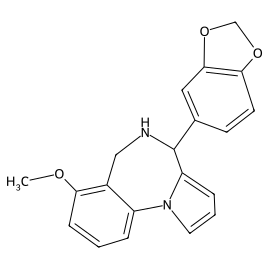 COc1cccc2c1CNC(c1ccc3c(c1)OCO3)c1cccn1-2